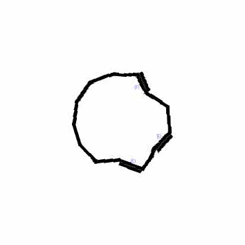 [C]1=C/CCCCCC/C=C/C=C/C/1